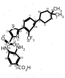 CC1(C)CCC(c2ccc(-c3nc(S(=O)(=O)Nc4ccc(C(=O)O)cc4N)cs3)c(C(F)(F)F)c2)CC1